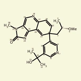 CO[C@@H](C)CC1(c2cncc(C(C)(C)O)c2)C=Cc2ncc3c(c2=C1)=NC(=O)N3C